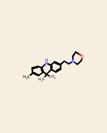 Cc1ccc2c(c1)C(C)(C)c1ccc(CCN3CCOCC3)cc1N2